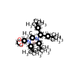 Cc1cc2c3c(c1)N(c1ccc4c(c1)OCCCO4)c1ccc(C(C)(C)C)cc1B3c1cc(C(C)(C)C)ccc1N2c1cc(-c2ccc(C(C)(C)C)cc2)cc(-c2ccc(C(C)(C)C)cc2)c1